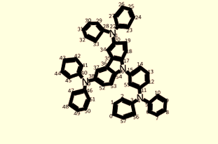 c1ccc(N(c2ccccc2)c2cccc(-n3c4ccc(N(c5ccccc5)c5ccccc5)cc4c4cc(N(c5ccccc5)c5ccccc5)ccc43)c2)cc1